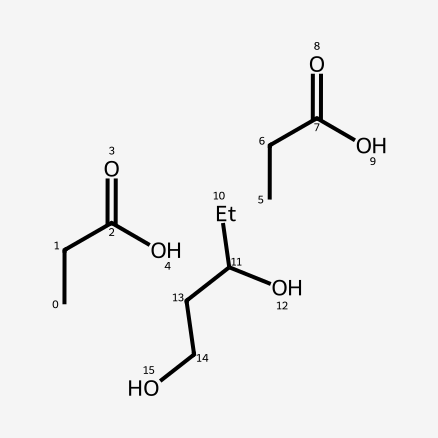 CCC(=O)O.CCC(=O)O.CCC(O)CCO